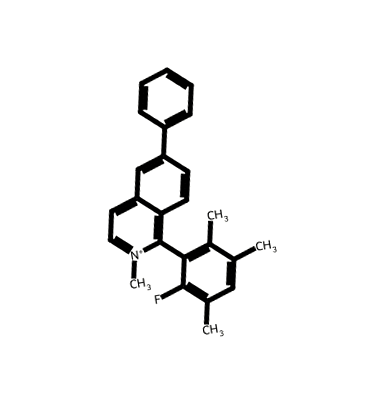 Cc1cc(C)c(F)c(-c2c3ccc(-c4ccccc4)cc3cc[n+]2C)c1C